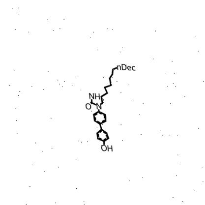 CCCCCCCCCCCCCCCCCCN(C(N)=O)c1ccc(-c2ccc(O)cc2)cc1